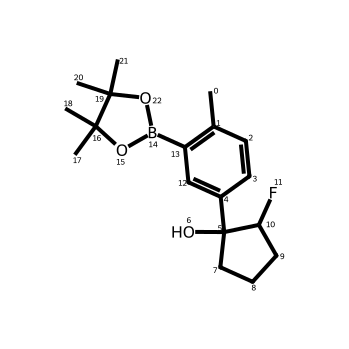 Cc1ccc(C2(O)CCCC2F)cc1B1OC(C)(C)C(C)(C)O1